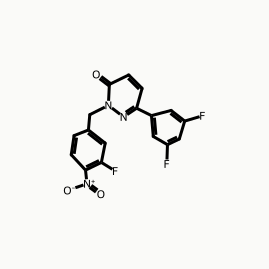 O=c1ccc(-c2cc(F)cc(F)c2)nn1Cc1ccc([N+](=O)[O-])c(F)c1